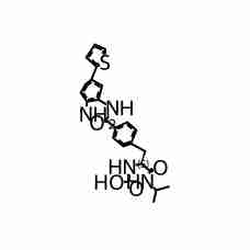 CC(C)NC(=O)[C@H](Cc1ccc(C(=O)Nc2cc(-c3cccs3)ccc2N)cc1)NC(=O)O